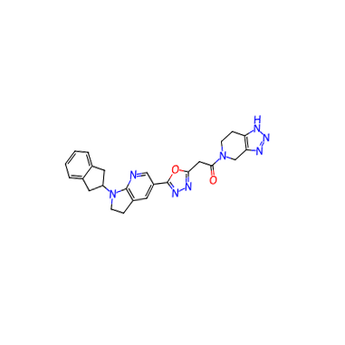 O=C(Cc1nnc(-c2cnc3c(c2)CCN3C2Cc3ccccc3C2)o1)N1CCc2[nH]nnc2C1